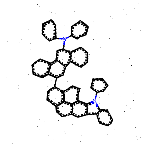 c1ccc(N(c2ccccc2)c2cc3c4ccccc4c(-c4ccc5ccc6cc7c8ccccc8n(-c8ccccc8)c7c7ccc4c5c67)cc3c3ccccc23)cc1